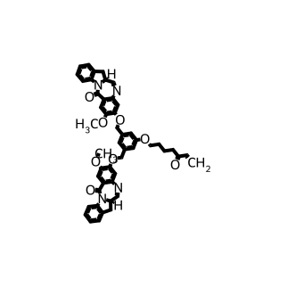 C=CC(=O)CCCCOc1cc(COc2cc3c(cc2OC)C(=O)N2c4ccccc4C[C@H]2C=N3)cc(COc2cc3c(cc2OC)C(=O)N2c4ccccc4C[C@H]2C=N3)c1